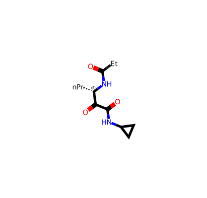 CCC[C@H](NC(=O)CC)C(=O)C(=O)NC1CC1